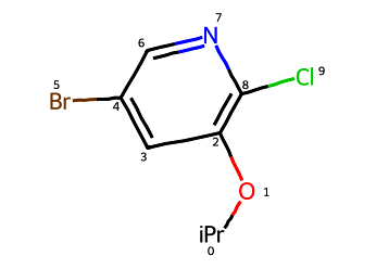 CC(C)Oc1cc(Br)cnc1Cl